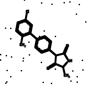 Cc1ccc(Cl)cc1-c1ccc(C2C(=O)NC(C)C2=O)cc1